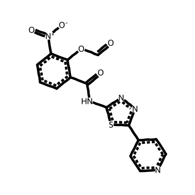 O=COc1c(C(=O)Nc2nnc(-c3ccncc3)s2)cccc1[N+](=O)[O-]